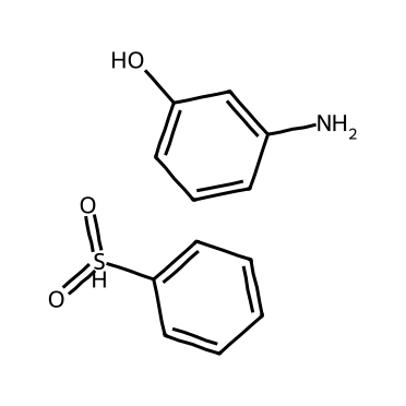 Nc1cccc(O)c1.O=[SH](=O)c1ccccc1